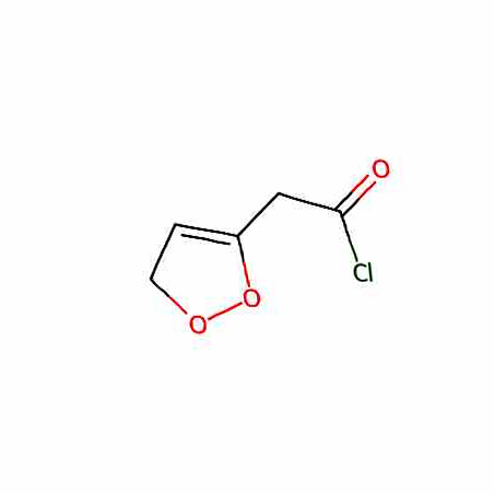 O=C(Cl)CC1=CCOO1